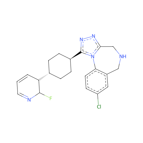 FC1N=CC=CC1[C@H]1CC[C@H](c2nnc3n2-c2ccc(Cl)cc2CNC3)CC1